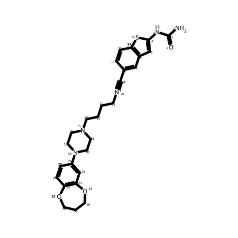 NC(=O)Nc1cc2cc(C#[N+]CCCCN3CCN(c4ccc5c(c4)OCCCO5)CC3)ccc2s1